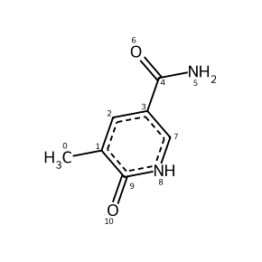 Cc1cc(C(N)=O)c[nH]c1=O